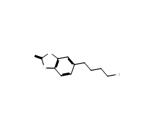 NCCCCc1ccc2[nH]c(=O)sc2c1